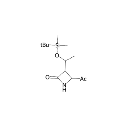 CC(=O)C1NC(=O)C1C(C)O[Si](C)(C)C(C)(C)C